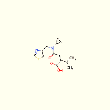 CC(C)[C@H](CC(=O)N(Cc1cscn1)C1CC1)C(=O)O